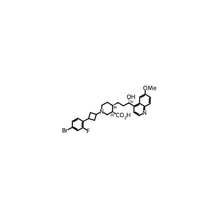 COc1ccc2nccc([C@@H](O)CC[C@@H]3CCN(C4CC(c5ccc(Br)cc5F)C4)C[C@@H]3C(=O)O)c2c1